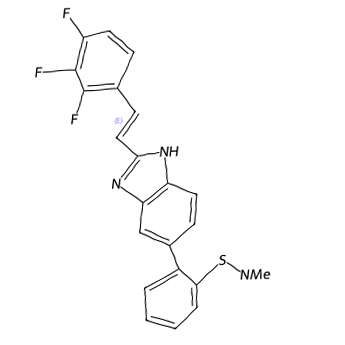 CNSc1ccccc1-c1ccc2[nH]c(/C=C/c3ccc(F)c(F)c3F)nc2c1